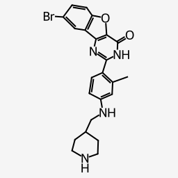 Cc1cc(NCC2CCNCC2)ccc1-c1nc2c(oc3ccc(Br)cc32)c(=O)[nH]1